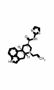 C=CCN1C[C@H](C(=O)Nc2nccs2)C[C@@H]2c3cccc4[nH]cc(c34)C[C@H]21